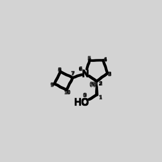 OC[C@@H]1CCCN1C1CCC1